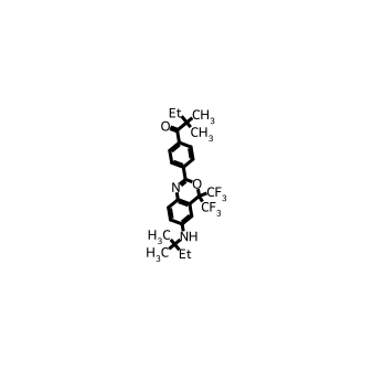 CCC(C)(C)Nc1ccc2c(c1)C(C(F)(F)F)(C(F)(F)F)OC(c1ccc(C(=O)C(C)(C)CC)cc1)=N2